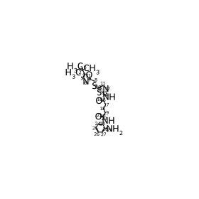 CC(C)(C)c1cnc(CSc2cnc(NC(=O)CCCC(=O)Nc3ccccc3N)s2)o1